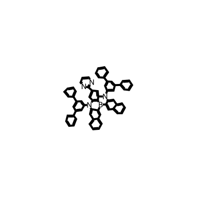 c1ccc(-c2cc(-c3ccccc3)cc(N3c4cc5ccccc5cc4B4c5cc6ccccc6cc5N(c5cc(-c6ccccc6)cc(-c6ccccc6)c5)c5cc(-c6ncccn6)cc3c54)c2)cc1